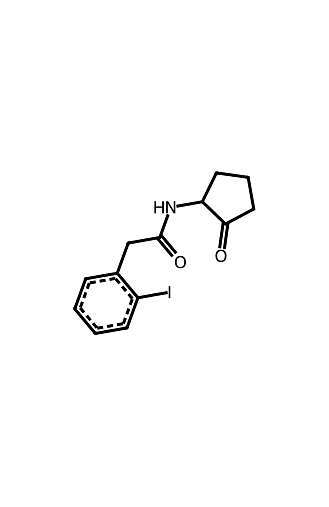 O=C(Cc1ccccc1I)NC1CCCC1=O